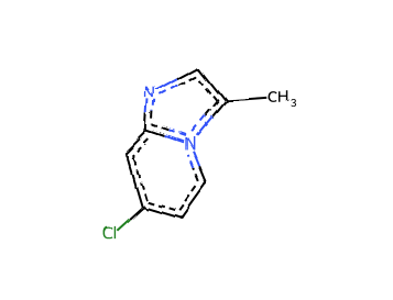 Cc1cnc2cc(Cl)ccn12